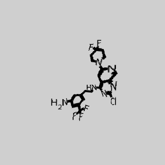 Nc1cc(CCNc2nc(Cl)nc3cnc(N4CCC(F)(F)CC4)cc23)cc(C(F)(F)F)c1